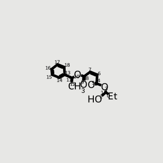 CCC(O)OC(=O)/C=C\C(=O)OC(C)c1ccccc1